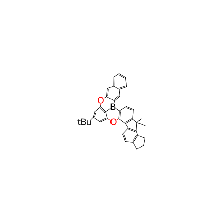 CC(C)(C)c1cc2c3c(c1)Oc1c(ccc4c1-c1ccc5c(c1C4(C)C)CCC5)B3c1cc3ccccc3cc1O2